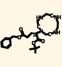 CC(C)(C)OC(=O)[C@@H](CCC(=O)OCc1ccccc1)N1CCNCCNCCNCC1